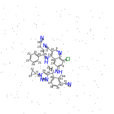 [2H][C@@](Nc1cc(Cl)c2ncc(C#N)c(N[C@H](CCC#N)c3ccccc3)c2c1)(c1cn(C2CC2)nn1)c1cccc(C#N)c1C